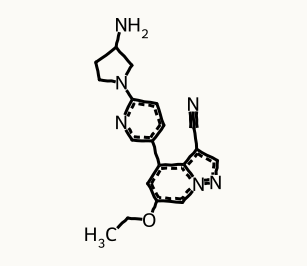 CCOc1cc(-c2ccc(N3CCC(N)C3)nc2)c2c(C#N)cnn2c1